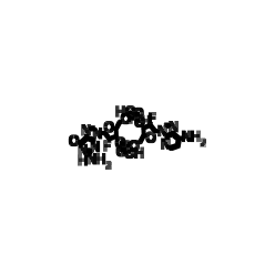 Nc1nc2c(ncn2C2OC3COP(=O)(O)O[C@@H]4C(COP(=O)(O)OC3[C@H]2F)OC(n2cnc3c(N)ccnc32)[C@@H]4F)c(=O)[nH]1